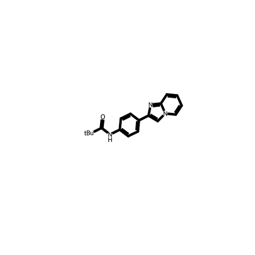 CC(C)(C)C(=O)Nc1ccc(-c2cn3ccccc3n2)cc1